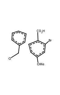 COc1ccc(C(=O)O)c(Br)c1.[O]Cc1ccccc1